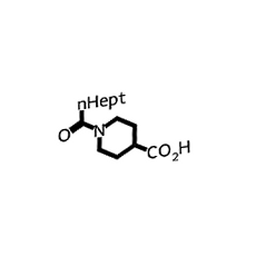 CCCCCCCC(=O)N1CCC(C(=O)O)CC1